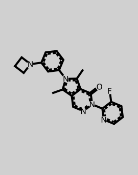 Cc1c2cnn(-c3ncccc3F)c(=O)c2c(C)n1-c1cccc(N2CCC2)c1